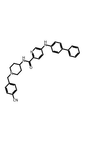 N#Cc1ccc(CN2CCC(NC(=O)c3ccc(Nc4ccc(-c5ccccc5)cc4)cn3)CC2)cc1